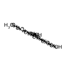 COCCOCCOCCOCCOCCOCCOCCOCCOCCOCCO.N=[N+]=N